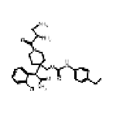 CCc1ccc(NC(=O)OCC2(C(C(N)=O)c3ccccc3Cl)CCN(C(=O)C(N)CN)CC2)cc1